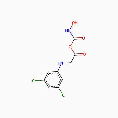 O=C(CNc1cc(Cl)cc(Cl)c1)OC(=O)NO